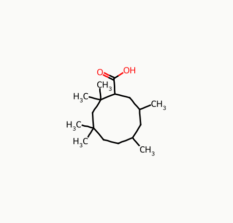 CC1CCC(C)(C)CC(C)(C)C(C(=O)O)CC(C)C1